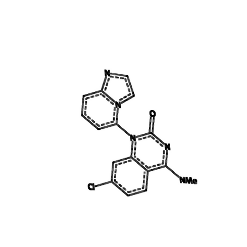 CNc1nc(=O)n(-c2cccc3nccn23)c2cc(Cl)ccc12